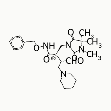 CN1C(=O)N(C[C@H](C(=O)NOCc2ccccc2)C(C=O)CN2CCCCC2)C(=O)C1(C)C